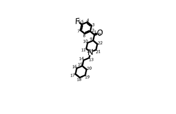 O=C(c1ccc(F)cc1)C1CCN(CCC2CC[CH]CC2)CC1